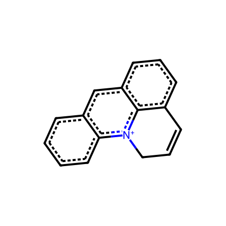 C1=Cc2cccc3cc4ccccc4[n+](c23)C1